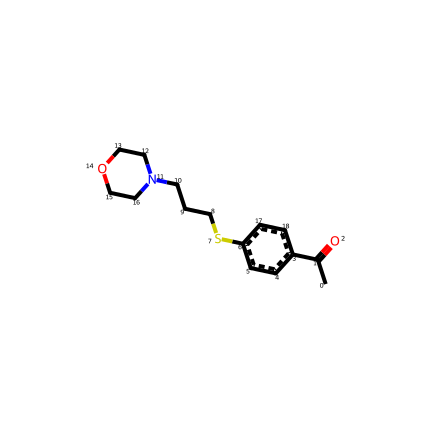 CC(=O)c1ccc(SCCCN2CCOCC2)cc1